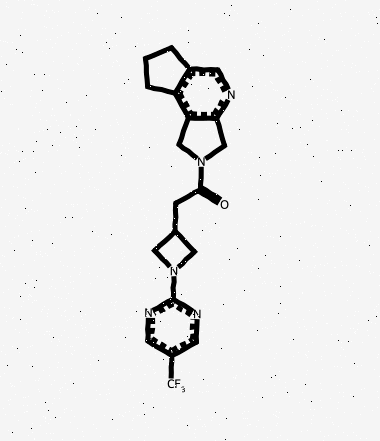 O=C(CC1CN(c2ncc(C(F)(F)F)cn2)C1)N1Cc2ncc3c(c2C1)CCC3